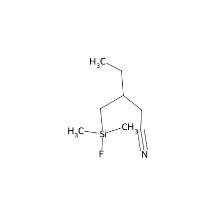 CCC(CC#N)C[Si](C)(C)F